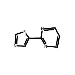 [c]1cnc(-c2cncs2)nc1